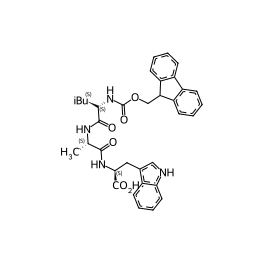 CC[C@H](C)[C@H](NC(=O)OCC1c2ccccc2-c2ccccc21)C(=O)N[C@@H](C)C(=O)N[C@@H](Cc1c[nH]c2ccccc12)C(=O)O